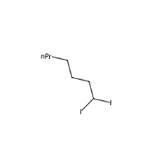 CCCCCCC(I)I